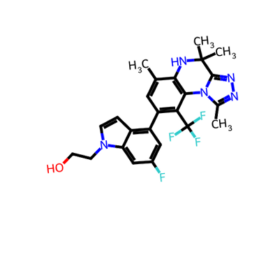 Cc1cc(-c2cc(F)cc3c2ccn3CCO)c(C(F)(F)F)c2c1NC(C)(C)c1nnc(C)n1-2